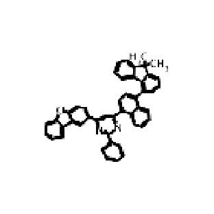 CC1(C)c2ccccc2-c2c(-c3ccc(-c4cc(-c5ccc6oc7ccccc7c6c5)nc(-c5ccccc5)n4)c4ccccc34)cccc21